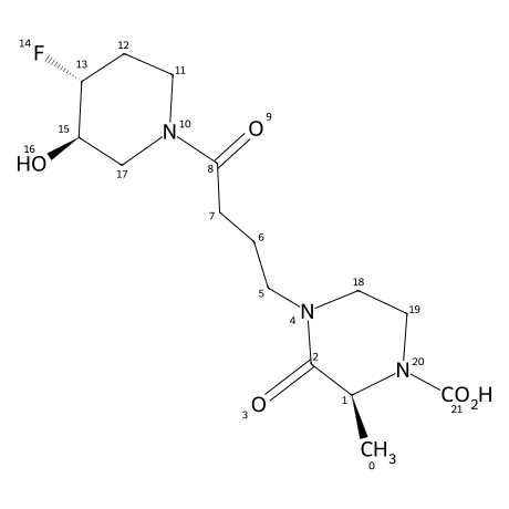 C[C@H]1C(=O)N(CCCC(=O)N2CC[C@@H](F)[C@H](O)C2)CCN1C(=O)O